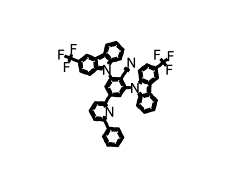 N#Cc1c(-n2c3ccccc3c3cc(C(F)(F)F)ccc32)cc(-c2cccc(-c3ccccc3)n2)cc1-n1c2ccccc2c2cc(C(F)(F)F)ccc21